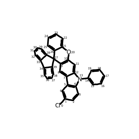 Clc1ccc2c(c1)c1cc3c(cc1n2-c1ccccc1)Oc1ccccc1C31c2ccccc2-c2ccccc21